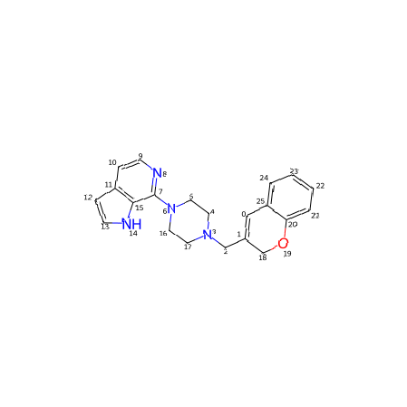 C1=C(CN2CCN(c3nccc4cc[nH]c34)CC2)COc2ccccc21